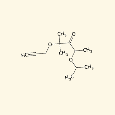 C#CCOC(C)(C)C(=O)C(C)OC(C)C